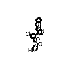 O=C([C@H]1Cc2cc(Cl)cc(-c3ccnc4[nH]c(Cc5ccccc5)cc34)c2O1)N1CCNCC1